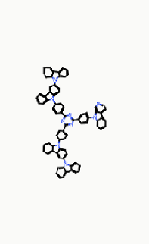 c1ccc2c(c1)c1ccccc1n2-c1ccc2c(c1)c1ccccc1n2-c1ccc(-c2nc(-c3ccc(-n4c5ccccc5c5cc(-n6c7ccccc7c7ccccc76)ccc54)cc3)nc(-c3ccc(-n4c5ccccc5c5ccncc54)cc3)n2)cc1